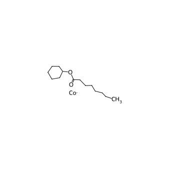 CCCCCCCC(=O)OC1CCCCC1.[Co]